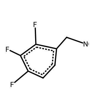 [N]Cc1ccc(F)c(F)c1F